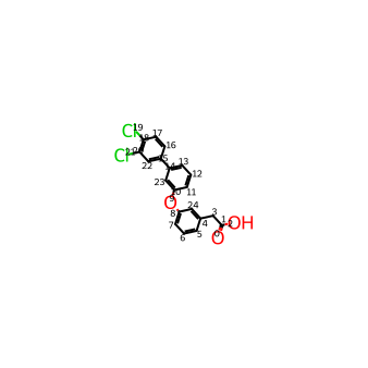 O=C(O)Cc1cccc(Oc2cccc(-c3ccc(Cl)c(Cl)c3)c2)c1